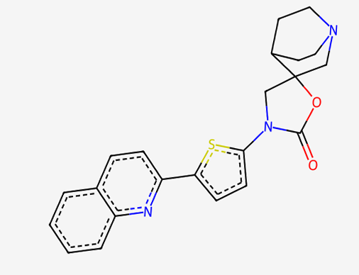 O=C1OC2(CN3CCC2CC3)CN1c1ccc(-c2ccc3ccccc3n2)s1